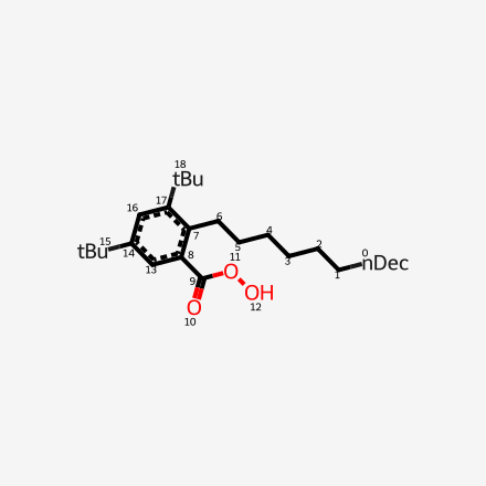 CCCCCCCCCCCCCCCCc1c(C(=O)OO)cc(C(C)(C)C)cc1C(C)(C)C